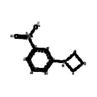 O=[N+]([O-])c1[c]c(N2CCC2)ccc1